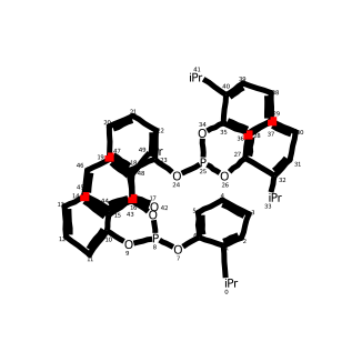 CC(C)c1ccccc1OP(Oc1ccccc1C(=O)c1ccccc1OP(Oc1ccccc1C(C)C)Oc1ccccc1C(C)C)Oc1ccccc1C(C)C